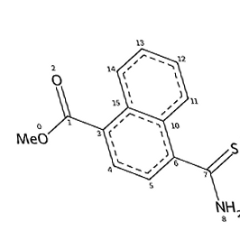 COC(=O)c1ccc(C(N)=S)c2ccccc12